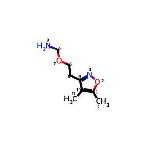 Cc1onc(CCOCN)c1C